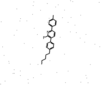 CCCCCc1ccc(-c2ccc(-c3ccc(C)cc3)nc2F)cc1